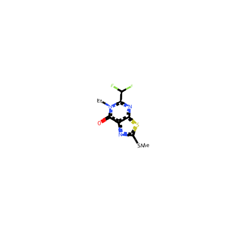 CCn1c(C(F)F)nc2sc(SC)nc2c1=O